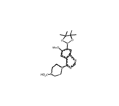 COc1cc2c(N3CCN(C(=O)O)CC3)ncnc2cc1B1OC(C)(C)C(C)(C)O1